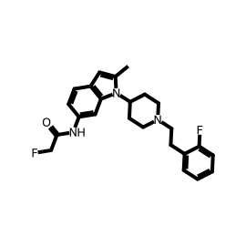 Cc1cc2ccc(NC(=O)CF)cc2n1C1CCN(CCc2ccccc2F)CC1